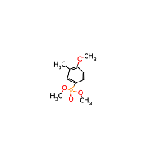 COc1ccc(P(=O)(OC)OC)cc1C